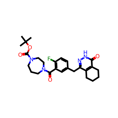 CC(C)(C)OC(=O)N1CCCN(C(=O)c2cc(Cc3n[nH]c(=O)c4c3CCCC4)ccc2F)CC1